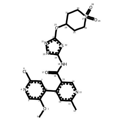 COc1cnc(Cl)cc1-c1cc(C)ncc1C(=O)Nc1nnc(OC2CCS(=O)(=O)CC2)s1